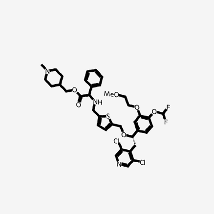 COCCOc1cc([C@H](Cc2c(Cl)cncc2Cl)OCc2ccc(CNC(C(=O)OCC3CCN(C)CC3)c3ccccc3)s2)ccc1OC(F)F